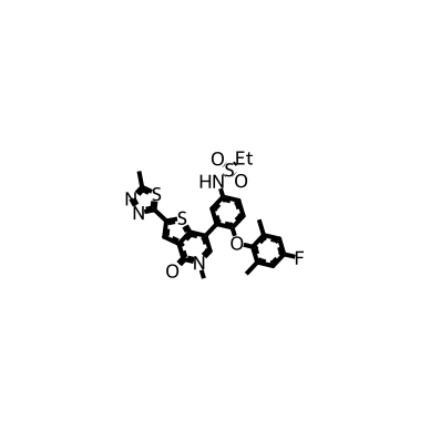 CCS(=O)(=O)Nc1ccc(Oc2c(C)cc(F)cc2C)c(-c2cn(C)c(=O)c3cc(-c4nnc(C)s4)sc23)c1